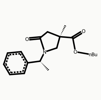 CCCCOC(=O)[C@]1(C)CC(=O)N([C@H](C)c2ccccc2)C1